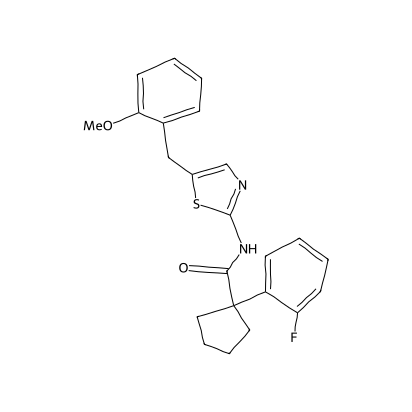 COc1ccccc1Cc1cnc(NC(=O)C2(c3ccccc3F)CCCC2)s1